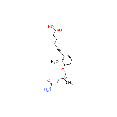 Cc1c(C#CCCCC(=O)O)cccc1OC[C@@H](C)CCC(N)=O